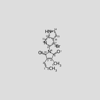 C/C=C\C1=C(C)C(=O)N(c2ncc3[nH]ccc3c2Br)C1=O